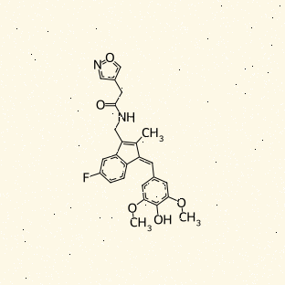 COc1cc(/C=C2/C(C)=C(CNC(=O)Cc3cnoc3)c3cc(F)ccc32)cc(OC)c1O